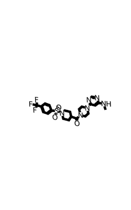 CNc1cc(N2CCN(C(=O)C3CCN(S(=O)(=O)c4ccc(C(F)(F)F)cc4)CC3)CC2)ncn1